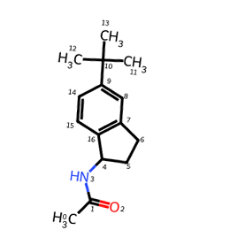 CC(=O)NC1CCc2cc(C(C)(C)C)ccc21